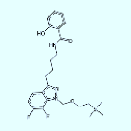 C[Si](C)(C)CCOCn1nc(CCCCNC(=O)c2ccccc2O)c2ccc(F)c(F)c21